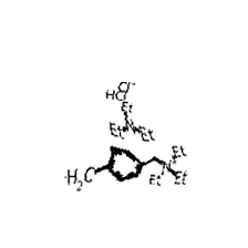 CCN(CC)CC.Cl.[CH2]c1ccc(C[N+](CC)(CC)CC)cc1.[Cl-]